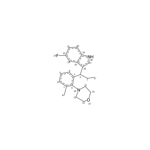 [CH2]CC(c1cccc(C)c1N1CCOCC1)c1c[nH]c2ccc(F)cc12